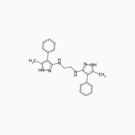 Cc1[nH]nc(NCCNc2n[nH]c(C)c2-c2ccccc2)c1-c1ccccc1